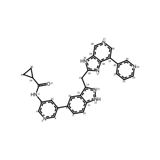 O=C(Nc1cncc(-c2ccc3[nH]nc(Cc4nc5c(-c6cccnc6)cncc5[nH]4)c3c2)c1)C1CC1